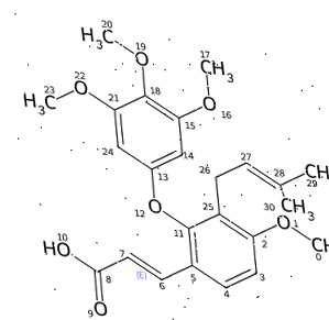 COc1ccc(/C=C/C(=O)O)c(Oc2cc(OC)c(OC)c(OC)c2)c1CC=C(C)C